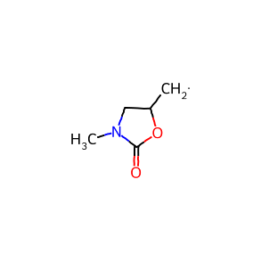 [CH2]C1CN(C)C(=O)O1